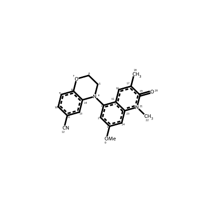 COc1cc(N2CCOc3ccc(C#N)cc32)c2cc(C)c(=O)n(C)c2c1